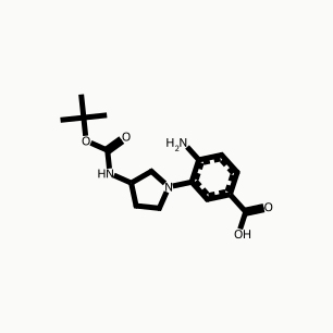 CC(C)(C)OC(=O)NC1CCN(c2cc(C(=O)O)ccc2N)C1